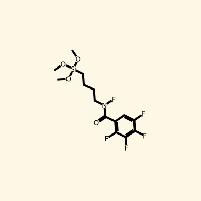 CO[Si](CCCCN(F)C(=O)c1cc(F)c(F)c(F)c1F)(OC)OC